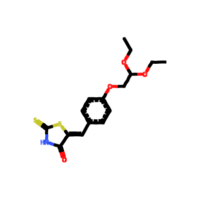 CCOC(COc1ccc(/C=C2\SC(=S)NC2=O)cc1)OCC